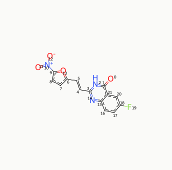 O=c1[nH]c(C=Cc2ccc([N+](=O)[O-])o2)nc2ccc(F)cc12